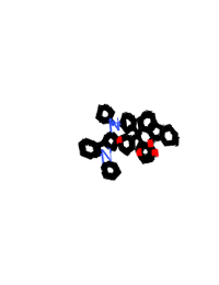 C1=CCC2C(=C1)c1cccc3c1C2(c1ccccc1)c1ccccc1C3(c1ccccc1)c1cccc(N(c2ccccc2)c2ccc3c(c2)c2ccccc2n3-c2ccccc2)c1